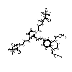 CCN1CCN(CC)c2cc(/N=N/c3n(CCCNC(=O)C(F)(F)F)cc[n+]3CCCNC(=O)C(F)(F)F)ccc21